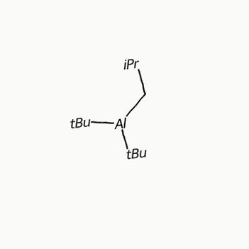 CC(C)[CH2][Al]([C](C)(C)C)[C](C)(C)C